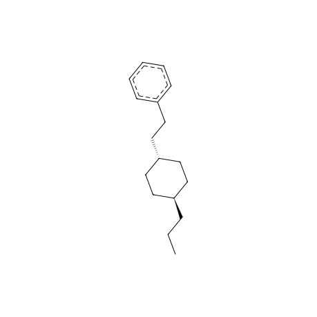 CCC[C@H]1CC[C@H](CCc2ccccc2)CC1